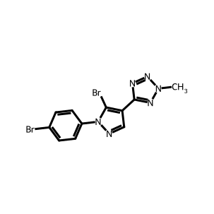 Cn1nnc(-c2cnn(-c3ccc(Br)cc3)c2Br)n1